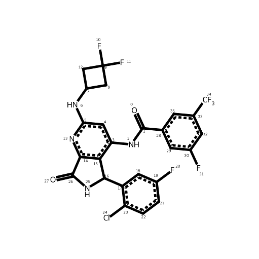 O=C(Nc1cc(NC2CC(F)(F)C2)nc2c1C(c1cc(F)ccc1Cl)NC2=O)c1cc(F)cc(C(F)(F)F)c1